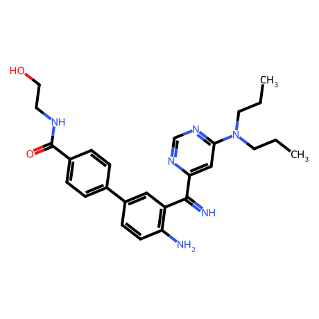 CCCN(CCC)c1cc(C(=N)c2cc(-c3ccc(C(=O)NCCO)cc3)ccc2N)ncn1